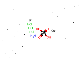 Cl.Cl.Cl.N.[Cu].[K+].[O]=[Mo](=[O])([OH])[OH]